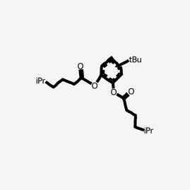 CC(C)CCCC(=O)Oc1ccc(C(C)(C)C)cc1OC(=O)CCCC(C)C